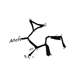 C=C(/C=C\C)[C@@H](CC)C(NC)C1CC1